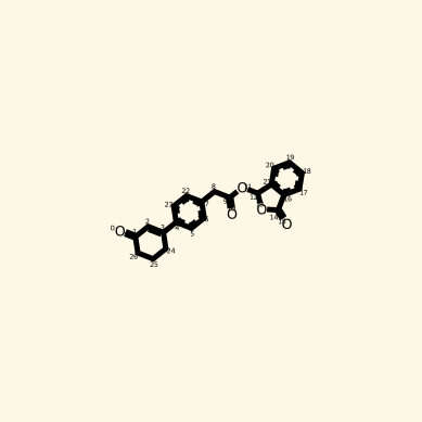 O=C1C=C(c2ccc(CC(=O)OC3OC(=O)c4ccccc43)cc2)CCC1